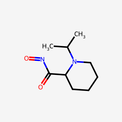 CC(C)N1CCCCC1C(=O)N=O